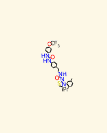 Cc1ccc(C(C)C)c(-n2ccs/c2=N\C(=O)NCCc2ccc(NC(=O)Nc3ccc(OC(F)(F)F)cc3)cc2)c1